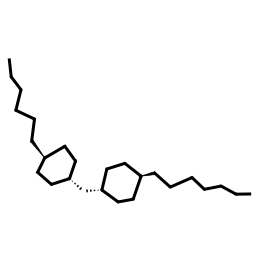 CCCCCCC[C@H]1CC[C@H](C[C@H]2CC[C@H](CCCCCC)CC2)CC1